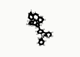 C1=Cc2ccccc2C2(c3ccccc31)c1ccccc1-c1cc(-c3ccc4c(c3)c3cccnc3n4-c3ccccc3)ccc12